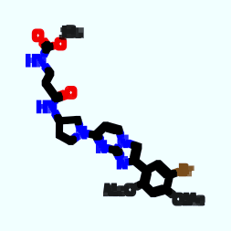 COc1cc(OC)c(-c2cn3ccc(N4CCC(NC(=O)CCNC(=O)OC(C)(C)C)C4)nc3n2)cc1Br